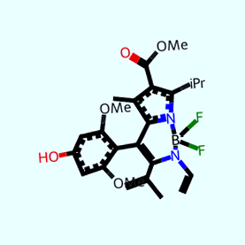 C=CN1C(C(=C)C)=C(c2c(OC)cc(O)cc2OC)c2c(C)c(C(=O)OC)c(C(C)C)n2[B-]1(F)F